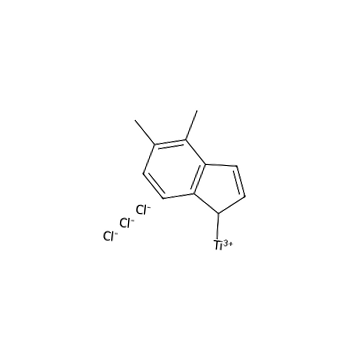 Cc1ccc2c(c1C)C=C[CH]2[Ti+3].[Cl-].[Cl-].[Cl-]